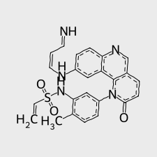 C=CS(=O)(=O)Nc1cc(-n2c(=O)ccc3cnc4ccc(N/C=C\C=N)cc4c32)ccc1C